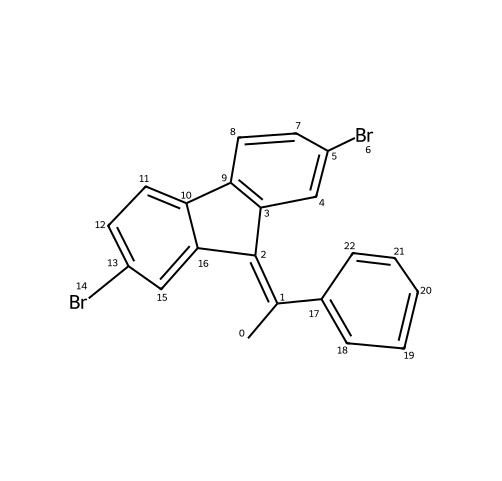 CC(=C1c2cc(Br)ccc2-c2ccc(Br)cc21)c1ccccc1